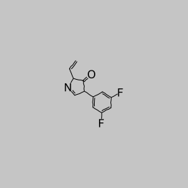 C=CC1N=CC(c2cc(F)cc(F)c2)C1=O